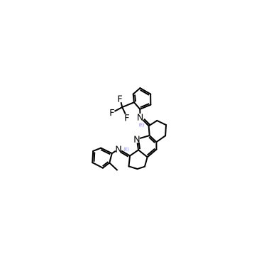 Cc1ccccc1/N=C1\CCCc2cc3c(nc21)/C(=N/c1ccccc1C(F)(F)F)CCC3